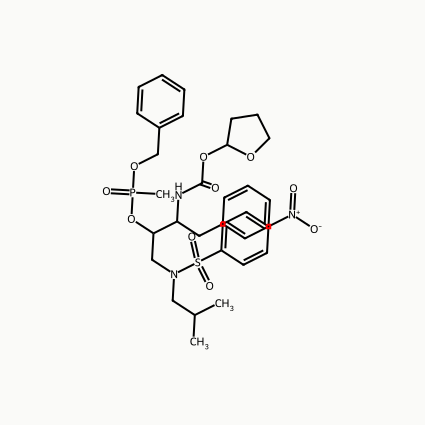 CC(C)CN(CC(OP(C)(=O)OCc1ccccc1)C(Cc1ccccc1)NC(=O)OC1CCCO1)S(=O)(=O)c1ccc([N+](=O)[O-])cc1